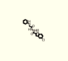 O=C(CNc1ccccc1)NNC(=O)c1cc2cc(Cl)ccc2[nH]1